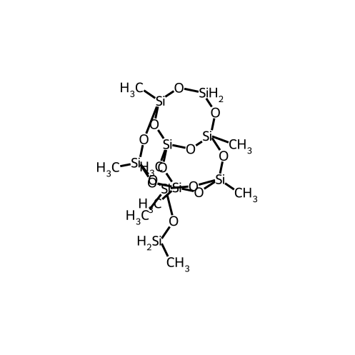 C[SiH2]O[Si]1(C)O[Si]2(C)O[Si]3(C)O[SiH2]O[Si]4(C)O[Si](C)(O1)O[Si](C)(O2)O[Si](C)(O3)O4